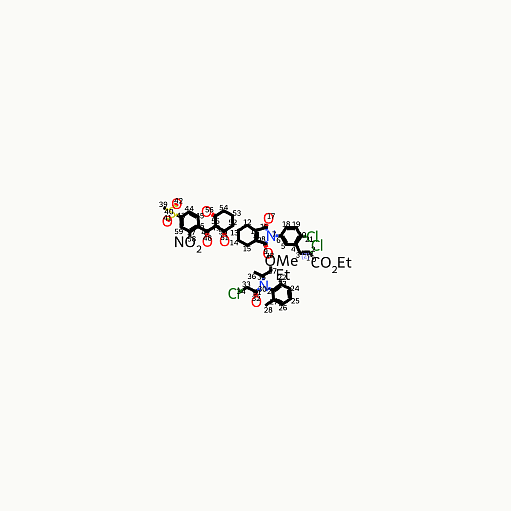 CCOC(=O)/C(Cl)=C/c1cc(N2C(=O)C3=C(CCCC3)C2=O)ccc1Cl.CCc1cccc(C)c1N(C(=O)CCl)C(C)COC.CS(=O)(=O)c1ccc(C(=O)C2C(=O)CCCC2=O)c([N+](=O)[O-])c1